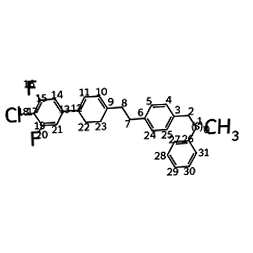 C[C@@H](Cc1ccc(CCC2=CC=C(c3cc(F)c(Cl)c(F)c3)CC2)cc1)c1ccccc1